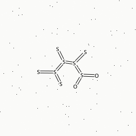 O=S(=O)=S(=S)=S(=S)=S(=S)=S